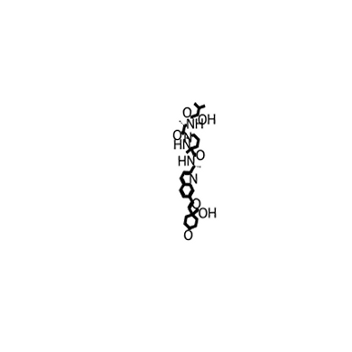 CC(C)[C@H](O)C(=O)N[C@@H](C)C(=O)N1CCCC(C)(C(=O)N[C@H](C)c2ccc3ccc(/C=C/C4(C(=O)O)CCC(=O)CC4)cc3n2)N1